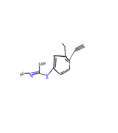 C#Cc1ccc(N/C(=N/C#N)SC)cc1C